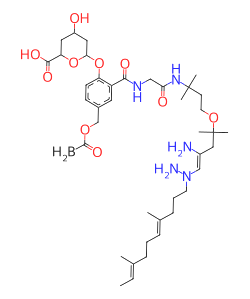 BC(=O)OCc1ccc(OC2CC(O)CC(C(=O)O)O2)c(C(=O)NCC(=O)NC(C)(C)CCOC(C)(C)C/C(N)=C/N(N)CCC/C(C)=C/CC/C(C)=C/C)c1